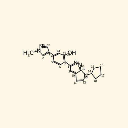 Cn1cc(-c2ccc(-c3cc4ccn(C5CCCC5)c4nn3)c(O)c2)cn1